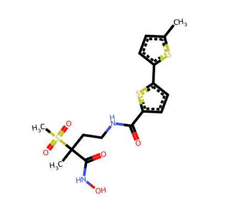 Cc1ccc(-c2ccc(C(=O)NCCC(C)(C(=O)NO)S(C)(=O)=O)s2)s1